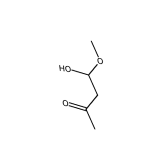 COC(O)CC(C)=O